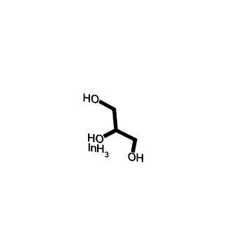 OCC(O)CO.[InH3]